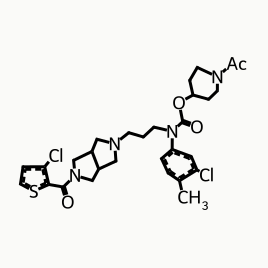 CC(=O)N1CCC(OC(=O)N(CCCN2CC3CN(C(=O)c4sccc4Cl)CC3C2)c2ccc(C)c(Cl)c2)CC1